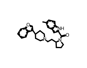 Cc1ccc2[nH]c(C(=O)N3CCCC3CCN3CCC(c4coc5ccccc45)CC3)cc2c1